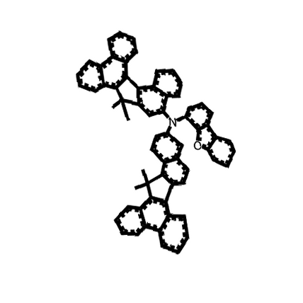 CC1(C)c2cc(N(c3ccc4c5c(ccc4c3)-c3c(c4ccccc4c4ccccc34)C5(C)C)c3cccc4c3oc3ccccc34)c3ccccc3c2-c2c1c1ccccc1c1ccccc21